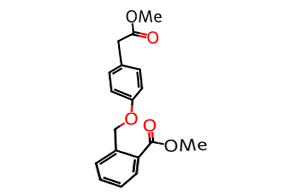 COC(=O)Cc1ccc(OCc2ccccc2C(=O)OC)cc1